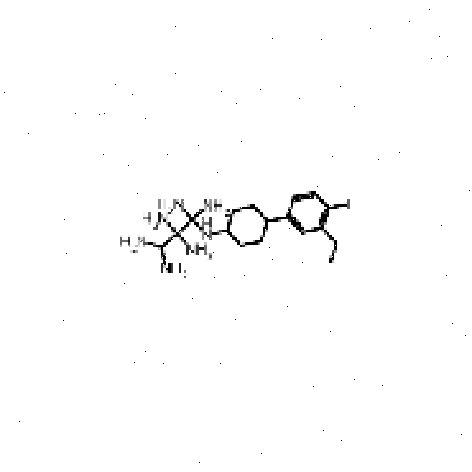 CCc1cc(C2CCC(NC(N)(N)C(N)(N)C(N)N)CC2)ccc1I